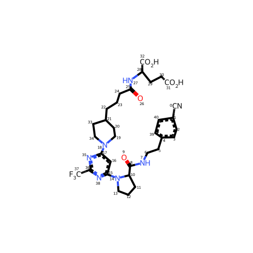 N#Cc1ccc(CCNC(=O)C2CCCN2c2cc(N3CCC(CCCC(=O)NC(CCC(=O)O)C(=O)O)CC3)nc(C(F)(F)F)n2)cc1